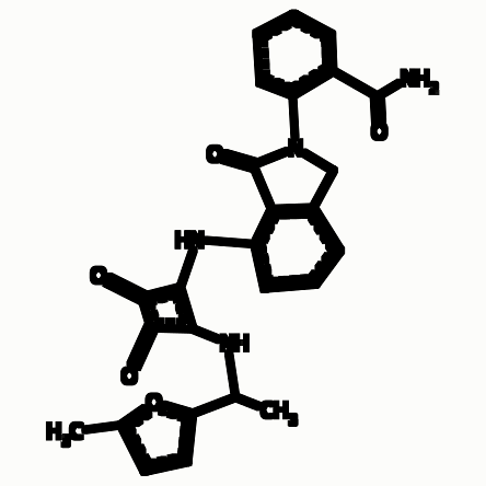 Cc1ccc(C(C)Nc2c(Nc3cccc4c3C(=O)N(c3ccccc3C(N)=O)C4)c(=O)c2=O)o1